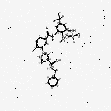 COc1c(NC(=O)c2ccc(C)c(-n3cc(C(=O)NCc4ccccc4)nn3)c2)cc(C(C)(C)C)cc1NS(C)(=O)=O